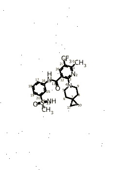 Cc1nc(N2CCC3(CC2)CC3)c(C(=O)Nc2cccc(S(C)(=N)=O)c2)cc1C(F)(F)F